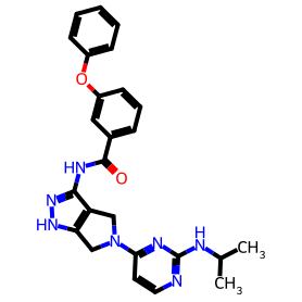 CC(C)Nc1nccc(N2Cc3[nH]nc(NC(=O)c4cccc(Oc5ccccc5)c4)c3C2)n1